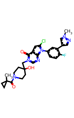 Cn1cc(-c2cc(-n3c(Cl)cc4c(=O)n(CC5(O)CCN(C(=O)C6(C)CC6)CC5)cnc43)ccc2F)cn1